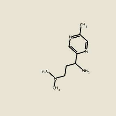 Cc1cnc(C(N)CCN(C)C)cn1